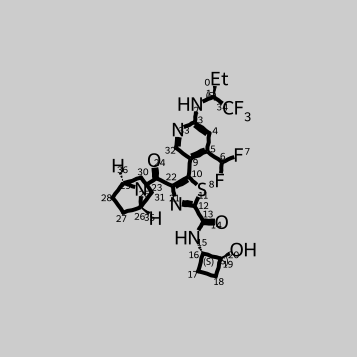 CC[C@H](Nc1cc(C(F)F)c(-c2sc(C(=O)N[C@H]3CC[C@@H]3O)nc2C(=O)N2[C@H]3CC[C@H]2CC3)cn1)C(F)(F)F